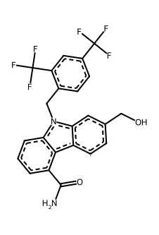 NC(=O)c1cccc2c1c1[c]cc(CO)cc1n2Cc1ccc(C(F)(F)F)cc1C(F)(F)F